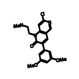 CNCCn1c(=O)c(-c2cc(OC)cc(OC)c2)cc2cnc(Cl)cc21